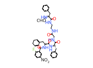 O=CN[C@@H](Cc1ccccc1)C(=O)NCCNC(=O)CNC(=O)[C@H](Cc1ccccc1)NC(=O)[C@H](CC1=CCCC=C1)NC(=O)c1cc([N+](=O)[O-])ccc1F